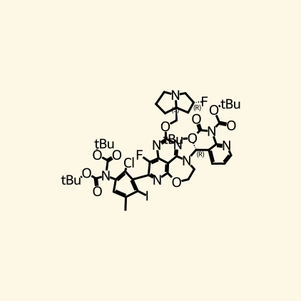 Cc1cc(N(C(=O)OC(C)(C)C)C(=O)OC(C)(C)C)c(Cl)c(-c2nc3c4c(nc(OC[C@@]56CCCN5C[C@H](F)C6)nc4c2F)N([C@H](C)c2cccnc2N(C(=O)OC(C)(C)C)C(=O)OC(C)(C)C)CCO3)c1I